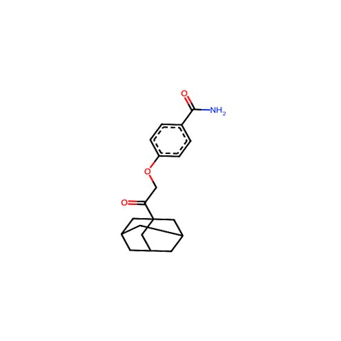 NC(=O)c1ccc(OCC(=O)C23CC4CC(CC(C4)C2)C3)cc1